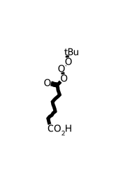 CC(C)(C)OOOC(=O)CCCCC(=O)O